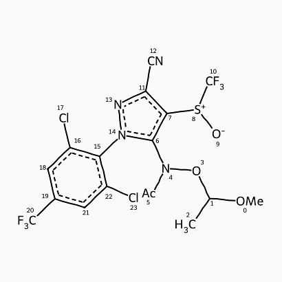 COC(C)ON(C(C)=O)c1c([S+]([O-])C(F)(F)F)c(C#N)nn1-c1c(Cl)cc(C(F)(F)F)cc1Cl